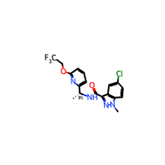 C[C@@H](NC(=O)c1nn(C)c2ccc(Cl)cc12)c1cccc(OCC(F)(F)F)n1